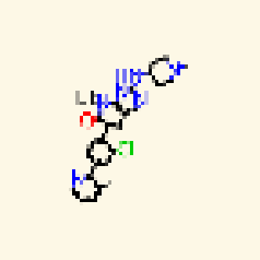 CCn1c(=O)c(-c2ccc(-c3ncccc3C)cc2Cl)cc2cnc(NC3CCN(C)CC3)nc21